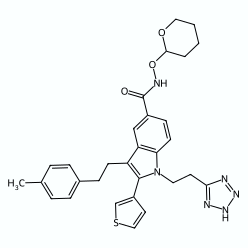 Cc1ccc(CCc2c(-c3ccsc3)n(CCc3nn[nH]n3)c3ccc(C(=O)NOC4CCCCO4)cc23)cc1